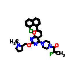 C=C(F)C(=O)N1CCN(c2nc(OCC3CCCN3C)nc3c2CC=C(c2cccc4cccc(Cl)c24)O3)CC1